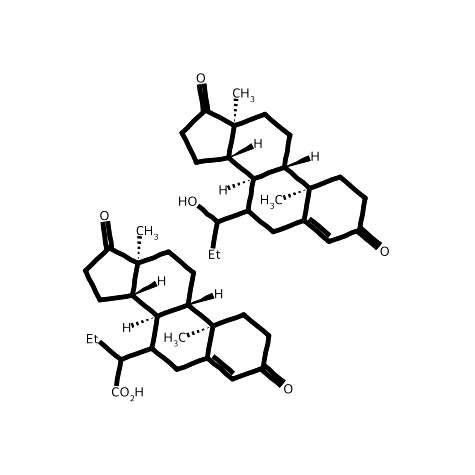 CCC(C(=O)O)C1CC2=CC(=O)CC[C@]2(C)[C@H]2CC[C@]3(C)C(=O)CC[C@H]3[C@H]12.CCC(O)C1CC2=CC(=O)CC[C@]2(C)[C@H]2CC[C@]3(C)C(=O)CC[C@H]3[C@H]12